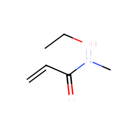 C=CC(=O)NC.CCO